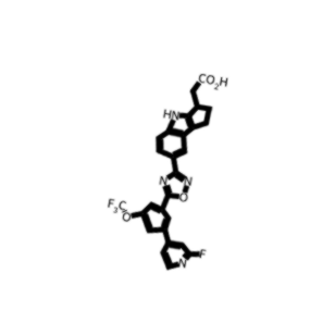 O=C(O)CC1CCc2c1[nH]c1ccc(-c3noc(-c4cc(OC(F)(F)F)cc(-c5ccnc(F)c5)c4)n3)cc21